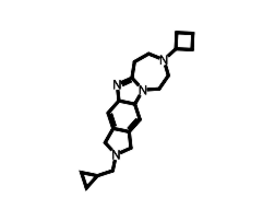 C1=C2CN(CC3CC3)CC2=CC2C1N=C1CCN(C3CCC3)CCN12